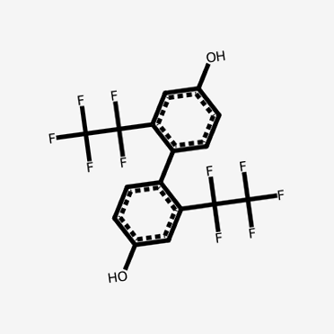 Oc1ccc(-c2ccc(O)cc2C(F)(F)C(F)(F)F)c(C(F)(F)C(F)(F)F)c1